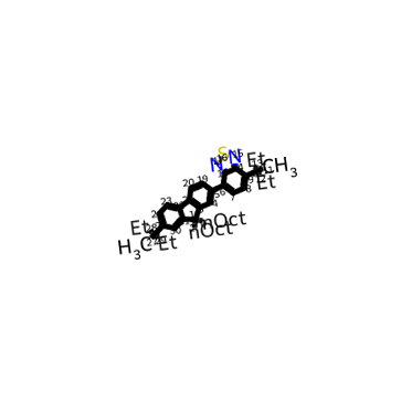 CCCCCCCCC1(CCCCCCCC)c2cc(-c3ccc(C(C)(CC)CC)c4nsnc34)ccc2-c2ccc(C(C)(CC)CC)cc21